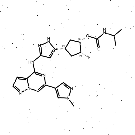 CC(C)NC(=O)O[C@H]1C[C@@H](c2cc(Nc3nc(-c4cnn(C)c4)cn4nccc34)n[nH]2)C[C@H]1F